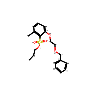 CCCOS(=O)(=O)c1c(C)cccc1OCCOCc1ccccc1